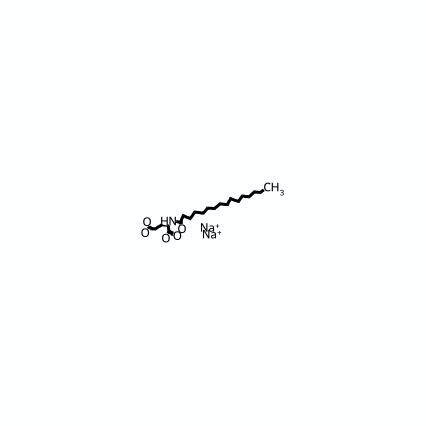 CCCCCCCCCCCCCCCC(=O)N[C@H](CCC(=O)[O-])C(=O)[O-].[Na+].[Na+]